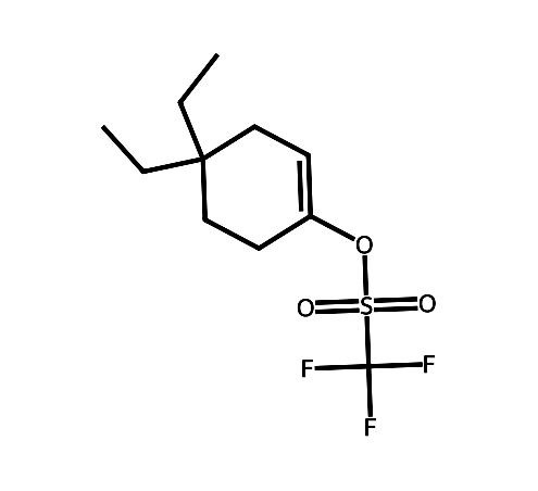 CCC1(CC)CC=C(OS(=O)(=O)C(F)(F)F)CC1